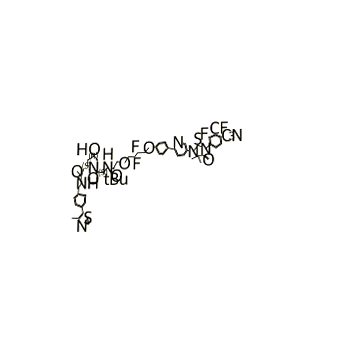 Cc1ncsc1-c1ccc(CNC2OC2[C@@H]2C[C@@H](O)CN2C(=O)[C@@H](NC(=O)COCC(F)C(F)COc2ccc(-c3ccc(N4C(=S)N(c5ccc(C#N)c(C(F)(F)F)c5F)C(=O)C4(C)C)cn3)cc2)C(C)(C)C)cc1